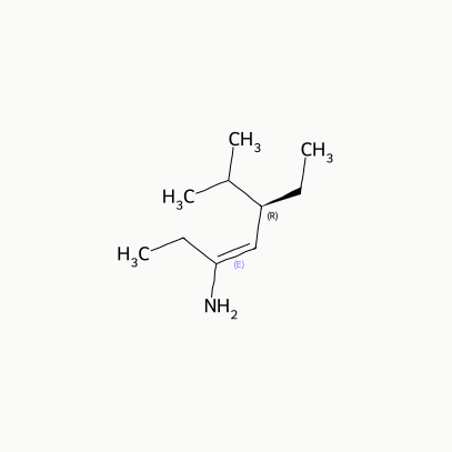 CC/C(N)=C\[C@H](CC)C(C)C